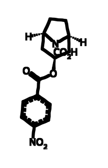 O=C(O[C@H]1C[C@H]2CC[C@@H](C1)N2C(=O)O)c1ccc([N+](=O)[O-])cc1